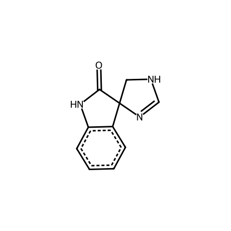 O=C1Nc2ccccc2C12CNC=N2